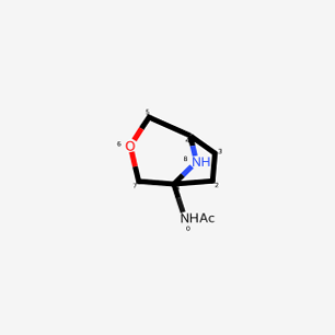 CC(=O)NC12CCC(COC1)N2